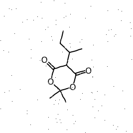 CCC(C)C1C(=O)OC(C)(C)OC1=O